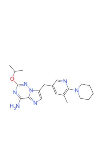 Cc1cc(Cc2cnc3c(N)nc(OC(C)C)nn23)cnc1N1CCCCC1